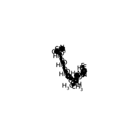 CN1C(=O)C[C@H](C(=O)NCCOCC(=O)NCCOCC(=O)NC2CCC(C(=O)N[C@@H]3C[C@H](NC(C)(C)C)CC[C@@H]3N3CC[C@H](Nc4ncnc5ccc(C(F)(F)F)cc45)C3=O)CC2)[C@H]1c1cccnc1